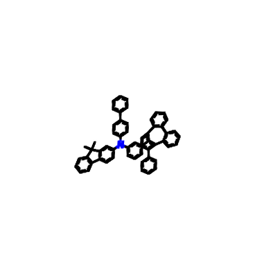 CC1(C)c2ccccc2-c2ccc(N(c3ccc(-c4ccccc4)cc3)c3cccc(-c4c5ccc(-c6ccccc6)c4-c4ccccc4-c4ccccc4-5)c3)cc21